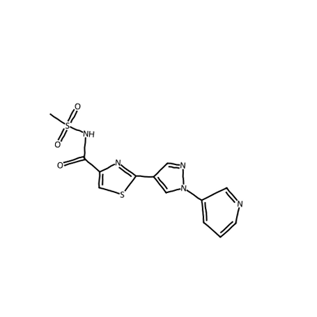 CS(=O)(=O)NC(=O)c1csc(-c2cnn(-c3cccnc3)c2)n1